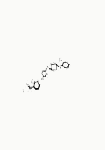 CCc1c(OCc2ccc(CN3CCN(c4ccc(C)cc4F)CC3)cc2)cccc1C(=O)C(C)CC